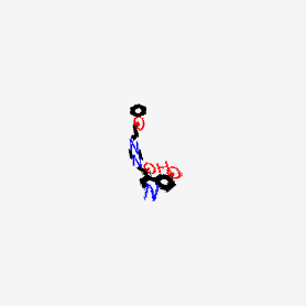 COc1ccc2nccc([C@H](O)CN3CCN(CCCOc4ccccc4)CC3)c2c1